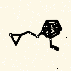 C=C[C]12[CH]3[CH]4[CH]5[C]1(OCC1CO1)[Fe]43521678[CH]2[CH]1[CH]6[CH]7[CH]28